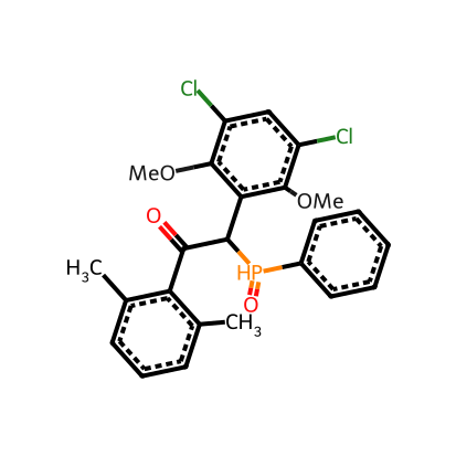 COc1c(Cl)cc(Cl)c(OC)c1C(C(=O)c1c(C)cccc1C)[PH](=O)c1ccccc1